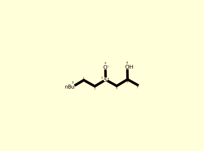 CCCCCC[S+]([O-])CC(C)O